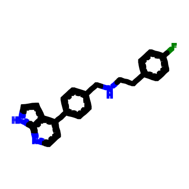 Fc1ccc(CCNCc2ccc(-c3ccnc4[nH]ccc34)cc2)cc1